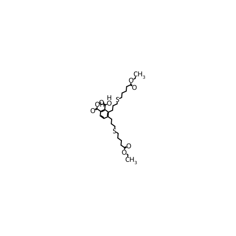 CCOC(=O)CCCCSCCCc1ccc(C(=O)O)c(C(=O)O)c1CCCSCCCCC(=O)OCC